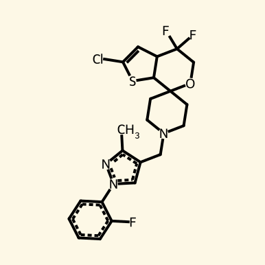 Cc1nn(-c2ccccc2F)cc1CN1CCC2(CC1)OCC(F)(F)C1C=C(Cl)SC12